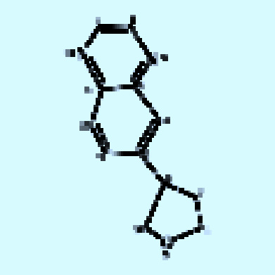 c1cnc2cc(C3CCOC3)ccc2n1